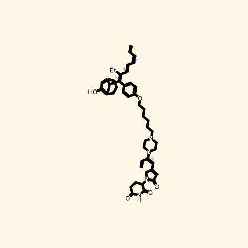 C=C\C=C/C=C/C(CC)=C(\c1ccc(OCCCCCCN2CCN(/C(C=C)=C/C3=CC(=O)N(C4CCC(=O)NC4=O)C3)CC2)cc1)C1CC2=C(O)C=C1CCC2